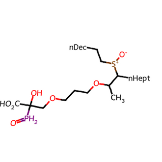 CCCCCCCCCCCC[S+]([O-])C(CCCCCCC)C(C)OCCCOCC(O)([PH2]=O)C(=O)O